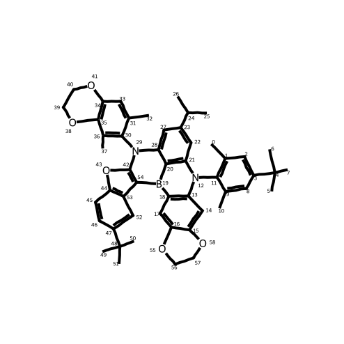 Cc1cc(C(C)(C)C)cc(C)c1N1c2cc3c(cc2B2c4c1cc(C(C)C)cc4N(c1c(C)cc4c(c1C)OCCO4)c1oc4ccc(C(C)(C)C)cc4c12)OCCO3